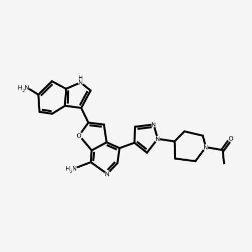 CC(=O)N1CCC(n2cc(-c3cnc(N)c4oc(-c5c[nH]c6cc(N)ccc56)cc34)cn2)CC1